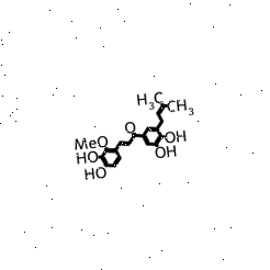 COc1c(/C=C/C(=O)c2cc(O)c(O)c(CC=C(C)C)c2)ccc(O)c1O